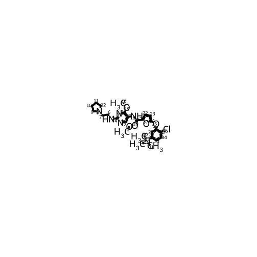 COc1nc(NCCN2CCCC2)nc(OC)c1NC(=O)c1ccc(Oc2cc([Si](C)(C)C)ccc2Cl)o1